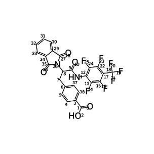 O=C(O)c1ccc(CC(C(=O)Nc2c(F)c(F)c(C(F)(F)F)c(F)c2F)N2C(=O)c3ccccc3C2=O)cc1